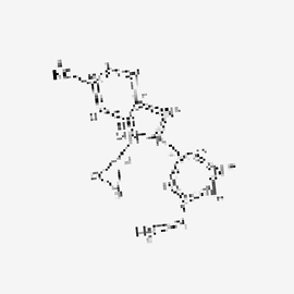 C=Cc1cc(-c2nc3ccc(C#N)cc3n2C2CC2)cnn1